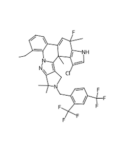 CCc1cccc2c1-n1nc3c(c1C1(C)C2=CC(C)(F)c2[nH]cc(Cl)c21)CN(Cc1ccc(C(F)(F)F)cc1C(F)(F)F)C3(C)C